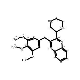 COc1cc(Cc2nc3ccccc3nc2C2CNCCN2)cc(OC)c1OC